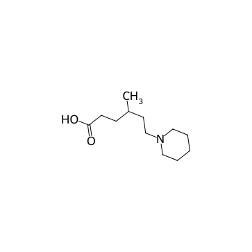 CC(CCC(=O)O)CCN1CCCCC1